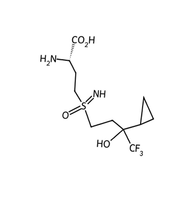 N=S(=O)(CC[C@H](N)C(=O)O)CCC(O)(C1CC1)C(F)(F)F